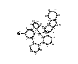 Brc1ccc2c(c1)-c1ccccc1-c1ccccc1C21c2ccccc2-c2c1ccc1sc3ccccc3c21